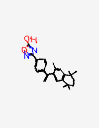 C=C(c1ccc(-c2noc(O)n2)cc1)c1cc2c(cc1C)C(C)(C)CCC2(C)C